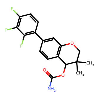 CC1(C)COc2cc(-c3ccc(F)c(F)c3F)ccc2C1OC(N)=O